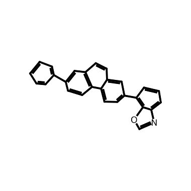 c1ccc(-c2ccc3c(ccc4cc(-c5cccc6ncoc56)ccc43)c2)cc1